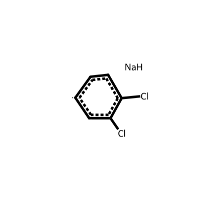 Clc1c[c]ccc1Cl.[NaH]